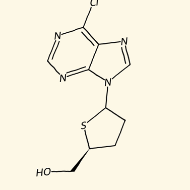 OC[C@@H]1CCC(n2cnc3c(Cl)ncnc32)S1